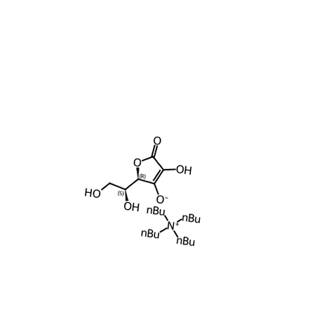 CCCC[N+](CCCC)(CCCC)CCCC.O=C1O[C@H]([C@@H](O)CO)C([O-])=C1O